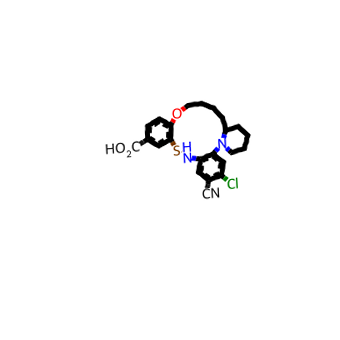 N#Cc1cc2c(cc1Cl)N1CCCCC1CCCCOc1ccc(C(=O)O)cc1SN2